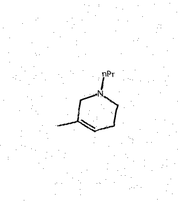 CCCN1CCC=C(C)C1